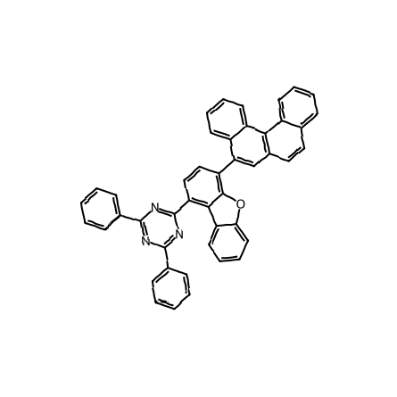 c1ccc(-c2nc(-c3ccccc3)nc(-c3ccc(-c4cc5ccc6ccccc6c5c5ccccc45)c4oc5ccccc5c34)n2)cc1